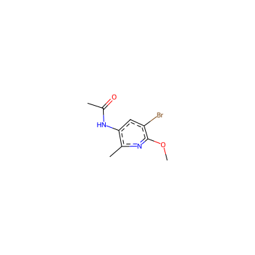 COc1nc(C)c(NC(C)=O)cc1Br